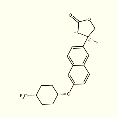 C[C@@]1(c2ccc3cc(O[C@H]4CC[C@@H](C(F)(F)F)CC4)ccc3c2)COC(=O)N1